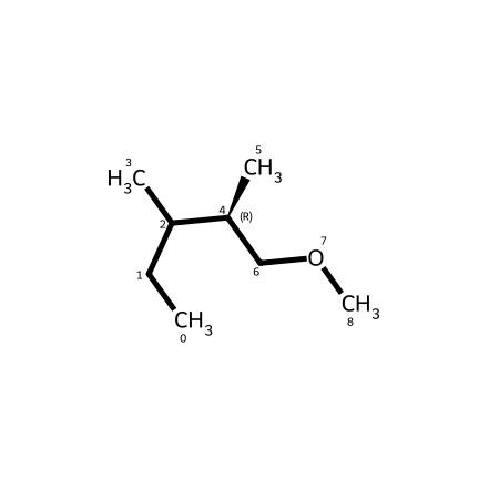 CCC(C)[C@@H](C)COC